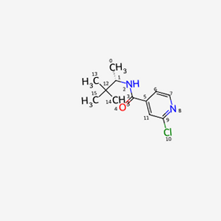 C[C@H](NC(=O)c1ccnc(Cl)c1)C(C)(C)C